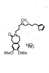 COc1cc2c(cc1OC)CC(=O)N(CCCN(C)CCCCc1cccs1)CC2.Cl.Cl